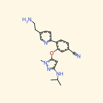 CC(C)Nc1cc(Oc2cc(C#N)ccc2-c2ccc(CCN)cn2)n(C)n1